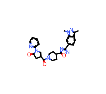 Cc1nn(C)c2cc(-c3noc(C4CCN(C(=O)C5CC(=O)N(c6ccccn6)C5)CC4)n3)ccc12